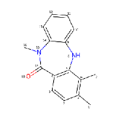 Cc1ccc2c(c1C)Nc1ccccc1N(C)C2=O